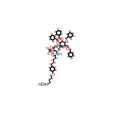 CCCCCCCCCCCCCCOc1ccc(CCCCC(=O)N[C@@H](COC2OC(COCc3ccccc3)C(OCc3ccccc3)C(OCc3ccccc3)C2OCc2ccccc2)[C@@H]2OC(C)(C)O[C@H]2CCCCC)cc1